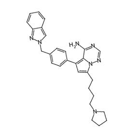 Nc1ncnn2c(CCCCN3CCCC3)cc(-c3ccc(Cn4cc5ccccc5n4)cc3)c12